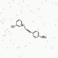 CCCCc1ccc(C#CCC[n+]2cccc(CC)c2)cc1